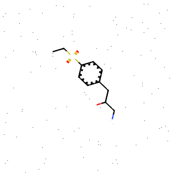 CCS(=O)(=O)c1ccc(CC(O)CN)cc1